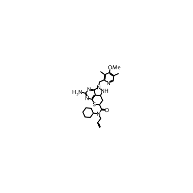 C=CCN(C(=O)C1CC2NN(Cc3ncc(C)c(OC)c3C)c3nc(N)nc(c32)S1)C1CCCCC1